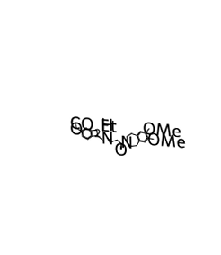 CCOC(=O)Oc1ccc2c(c1)CC2CNCCC(=O)N1CCc2cc(OC)c(OC)cc2CC1